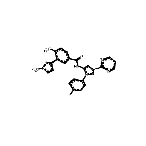 Cn1ccc(-c2cc(C(=O)Nc3cc(-c4ncccn4)nn3-c3ccc(F)cc3)ccc2C(F)(F)F)n1